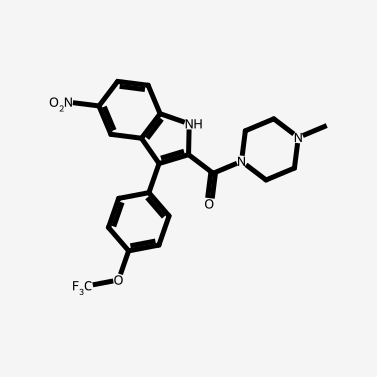 CN1CCN(C(=O)c2[nH]c3ccc([N+](=O)[O-])cc3c2-c2ccc(OC(F)(F)F)cc2)CC1